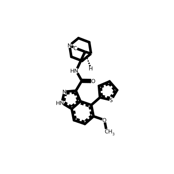 COc1ccc2[nH]nc(C(=O)N[C@H]3CN4CCC3CC4)c2c1-c1cccs1